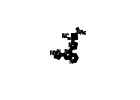 CC(=O)N(C)[C@H]1C[C@@](CC#N)(n2ccc(-c3nc(-c4cc[nH]n4)cc4ncccc34)n2)C1